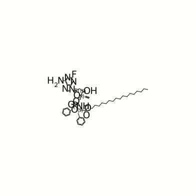 C#C[C@]1(COP(=O)(N[C@@H](Cc2ccccc2)C(=O)OCCCCCCCCCCCCCCCCC)Oc2ccccc2)O[C@@H](n2cnc3c(N)nc(F)nc32)C[C@@H]1O